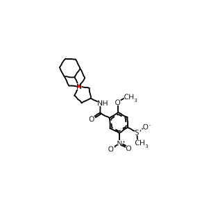 COc1cc([S+](C)[O-])c([N+](=O)[O-])cc1C(=O)NC1CCN(C2C3CCCC2CCC3)C1